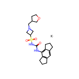 O=C(Nc1c2c(cc3c1CCC3)CCC2)NS(=O)(=O)C1CN(CC2CCOC2)C1.[K]